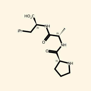 CC(C)C[C@H](NC(=O)[C@H](C)NC(=O)[C@@H]1CCCN1)C(=O)O